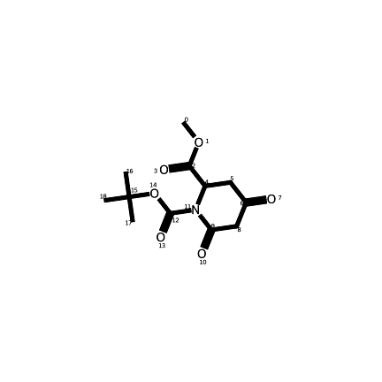 COC(=O)C1CC(=O)CC(=O)N1C(=O)OC(C)(C)C